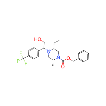 CC[C@@H]1CN(C(=O)OCc2ccccc2)[C@@H](C)CN1C(CO)c1ccc(C(F)(F)F)cc1